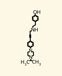 CC(C)N1CCN(c2ccc(C#CCNCCc3ccc(O)cc3)cc2)CC1